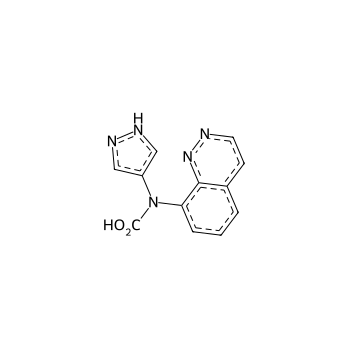 O=C(O)N(c1cn[nH]c1)c1cccc2ccnnc12